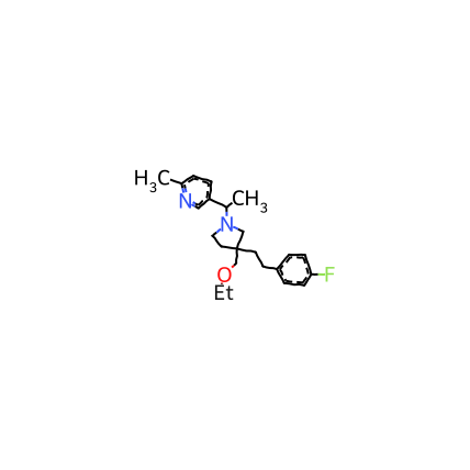 CCOCC1(CCc2ccc(F)cc2)CCN(C(C)c2ccc(C)nc2)C1